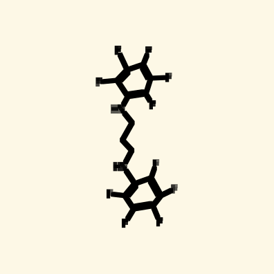 Fc1c(F)c(F)c(NCCCNc2c(F)c(F)c(F)c(F)c2F)c(F)c1F